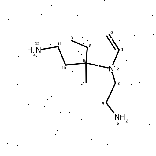 C=CN(CCN)C(C)(CC)CCN